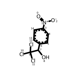 O=[N+]([O-])c1ccc(C(O)C(Cl)(Cl)Cl)cc1